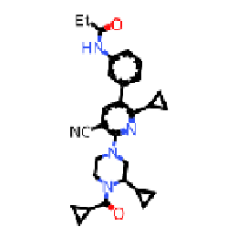 CCC(=O)Nc1cccc(-c2cc(C#N)c(N3CCN(C(=O)C4CC4)C(C4CC4)C3)nc2C2CC2)c1